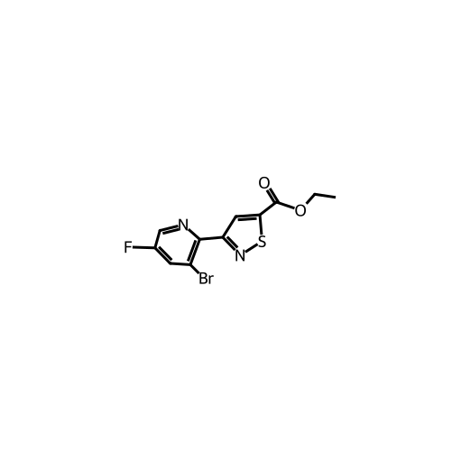 CCOC(=O)c1cc(-c2ncc(F)cc2Br)ns1